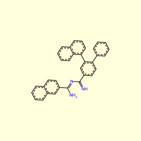 N=C(/N=C(\N)c1ccc2ccccc2c1)c1ccc(-c2ccccc2)c(-c2cccc3ccccc23)c1